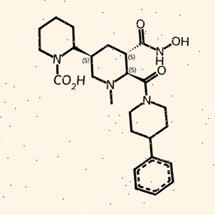 CN1C[C@@H](C2CCCCN2C(=O)O)C[C@H](C(=O)NO)[C@H]1C(=O)N1CCC(c2ccccc2)CC1